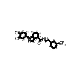 O=C(NCCc1cccc(C(F)(F)F)c1)c1cccc2c1cnn2-c1ccc(Cl)c(Cl)c1